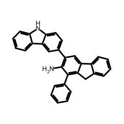 Nc1c(-c2ccc3[nH]c4ccccc4c3c2)cc2c(c1-c1ccccc1)Cc1ccccc1-2